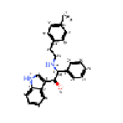 O=C(c1c[nH]c2ccccc12)[C@@H](NCCc1ccc(C(F)(F)F)cc1)c1ccccc1